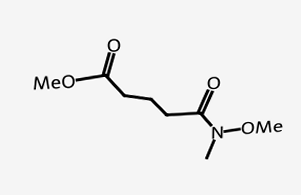 COC(=O)CCCC(=O)N(C)OC